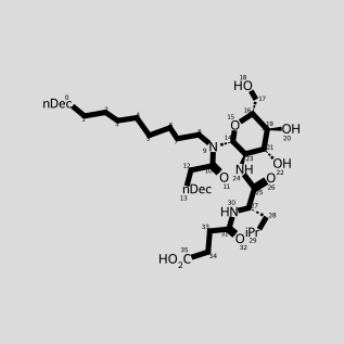 CCCCCCCCCCCCCCCCCCN(C(=O)CCCCCCCCCCC)[C@@H]1O[C@H](CO)[C@@H](O)[C@H](O)[C@H]1NC(=O)[C@H](CC(C)C)NC(=O)CCC(=O)O